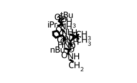 C=CCNC(=O)C(=O)C(CCCC)NC(=O)[C@@H]1[C@@H]2[C@H](CN1C(=O)[C@@H](NC(=O)N[C@](C)(CC(C)C)CS(=O)(=O)C(C)(C)C)C1(C)CCCCC1)C2(C)C